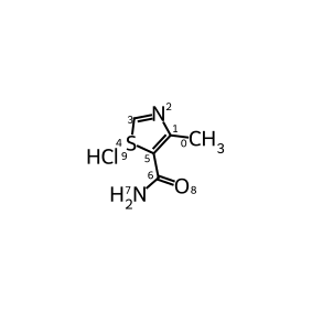 Cc1ncsc1C(N)=O.Cl